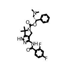 CN(C)C[C@@H](OC(=O)N1Cc2c(NC(=O)c3ccc(F)cc3F)n[nH]c2C1(C)C)c1ccccc1